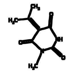 CC(C)=C1C(=O)NC(=O)N(C)C1=O